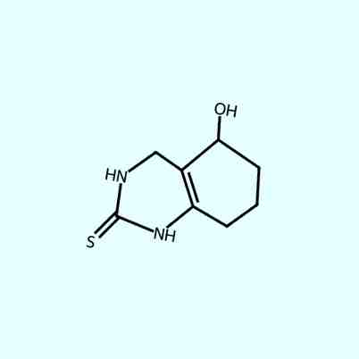 OC1CCCC2=C1CNC(=S)N2